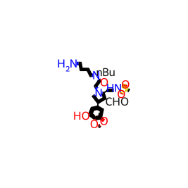 CCCCN(CCCCN)C(=O)CN1C[C@H](c2cc(O)c3c(c2)OCO3)[C@@H](C=O)[C@@H]1CCNS(C)(=O)=O